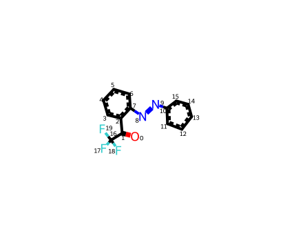 O=C(c1ccccc1N=Nc1ccccc1)C(F)(F)F